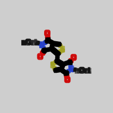 CCCCCCCCN1C(=O)c2csc(-c3scc4c3C(=O)N(CCCCCCCC)C4=O)c2C1=O